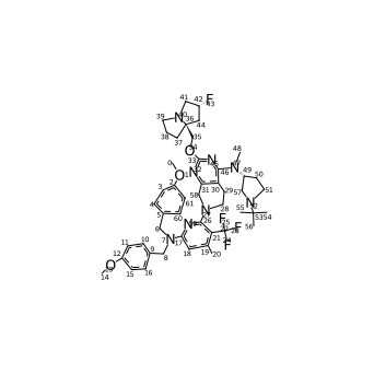 COc1ccc(CN(Cc2ccc(OC)cc2)c2cc(C)c(C(F)(F)F)c(N3CCc4c(nc(OC[C@@]56CCCN5C[C@H](F)C6)nc4N(C)[C@@H]4CCN(C(C)(C)C)C4)C3)n2)cc1